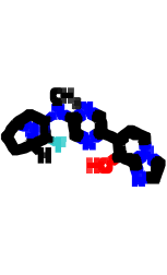 CN(c1cnc(-c2ccn3ccnc3c2O)cn1)[C@@H]1CC2CC[C@H](N2)[C@@H]1F